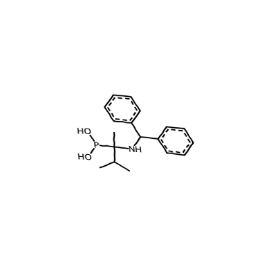 CC(C)C(C)(NC(c1ccccc1)c1ccccc1)P(O)O